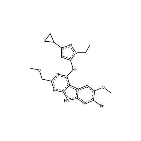 CCn1nc(C2CC2)cc1Nc1nc(COC)nc2[nH]c3cc(Br)c(OC)cc3c12